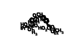 CCC1(C)COC(/C=C/c2ccc3ccc([C@@H](C)NC(=O)[C@@H]4CCCN(C(=O)[C@H](C)NC(=O)C(O)C(C)C)N4)nc3c2)(C(=O)O)CO1